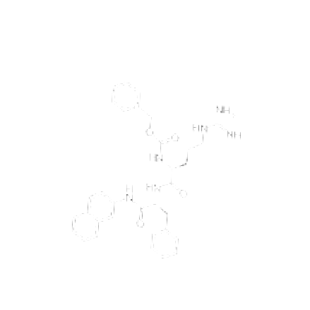 N=C(N)NCCC[C@H](NC(=O)OCc1ccccc1)C(=O)N[C@@H](Cc1ccccc1)C(=O)Nc1ccc2ccccc2c1